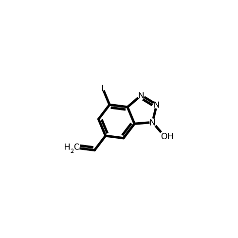 C=Cc1cc(I)c2nnn(O)c2c1